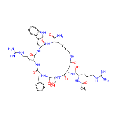 CC(=O)N[C@@H](CCCNC(=N)N)C(O)N[C@H]1CC(=O)NCCCC[C@@H](C(N)=O)NC(=O)[C@H](Cc2c[nH]c3ccccc23)NC(=O)[C@H](CCCNC(=N)N)NC(=O)[C@@H](Cc2ccccc2)NC(O)[C@H](CO)NC1=O